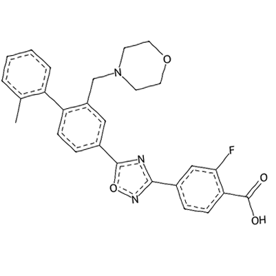 Cc1ccccc1-c1ccc(-c2nc(-c3ccc(C(=O)O)c(F)c3)no2)cc1CN1CCOCC1